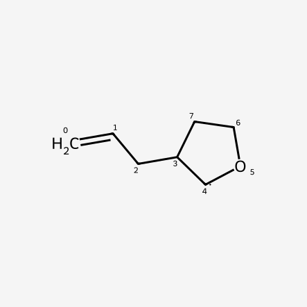 C=CCC1[CH]OCC1